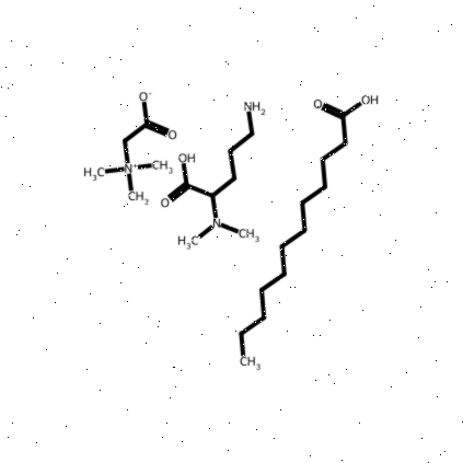 CCCCCCCCCCCC(=O)O.CN(C)C(CCCN)C(=O)O.C[N+](C)(C)CC(=O)[O-]